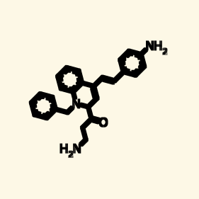 NCCC(=O)C1C=C(C=Cc2ccc(N)cc2)c2ccccc2N1Cc1ccccc1